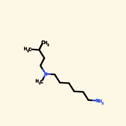 CC(C)CCN(C)CCCCCCN